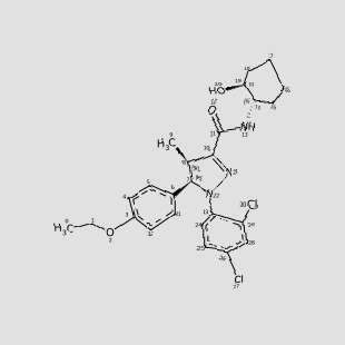 CCOc1ccc([C@H]2[C@@H](C)C(C(=O)N[C@H]3CCCC[C@@H]3O)=NN2c2ccc(Cl)cc2Cl)cc1